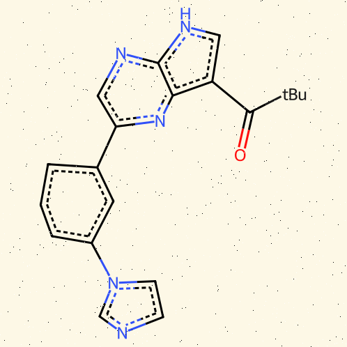 CC(C)(C)C(=O)c1c[nH]c2ncc(-c3cccc(-n4ccnc4)c3)nc12